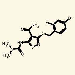 CN(C)C(=O)Nc1snc(OCc2ccc(Br)cc2F)c1C(N)=O